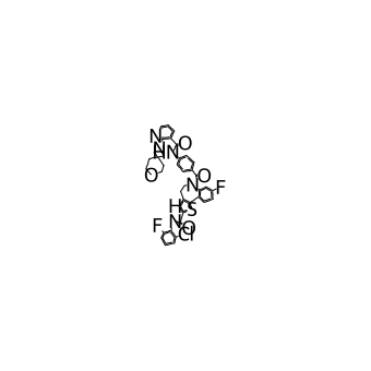 O=C(Nc1c(F)cccc1Cl)c1cc2c(s1)-c1ccc(F)cc1N(C(=O)c1ccc(NC(=O)c3cccnc3N3CC4(CCOCC4)C3)cc1)CC2